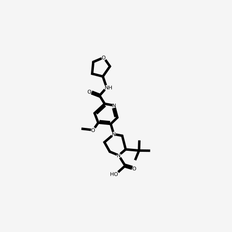 COc1cc(C(=O)NC2CCOC2)ncc1N1CCN(C(=O)O)C(C(C)(C)C)C1